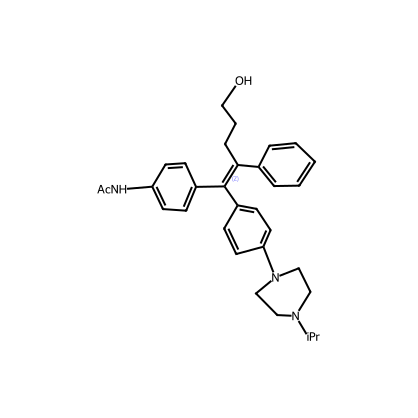 CC(=O)Nc1ccc(/C(=C(\CCCO)c2ccccc2)c2ccc(N3CCN(C(C)C)CC3)cc2)cc1